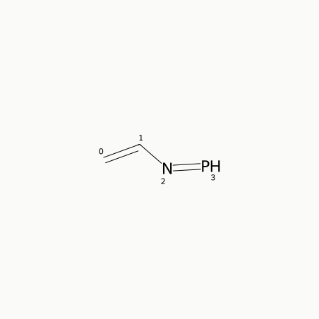 C=CN=P